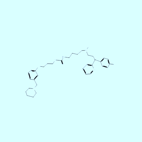 CN(CCCCNC(=O)NCCCOc1cccc(CN2CCCCC2)c1)CCC(c1ccc(Cl)cc1)c1ccccn1